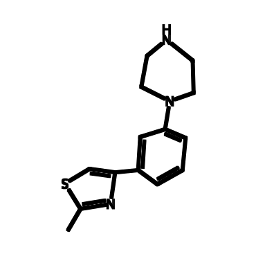 Cc1nc(-c2cccc(N3CCNCC3)c2)cs1